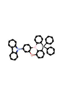 c1ccc([Si]2(c3ccccc3)c3ccccc3B3c4ccc(-n5c6ccccc6c6ccccc65)cc4Oc4cccc2c43)cc1